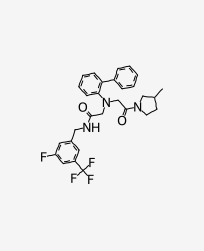 CC1CCN(C(=O)CN(CC(=O)NCc2cc(F)cc(C(F)(F)F)c2)c2ccccc2-c2ccccc2)C1